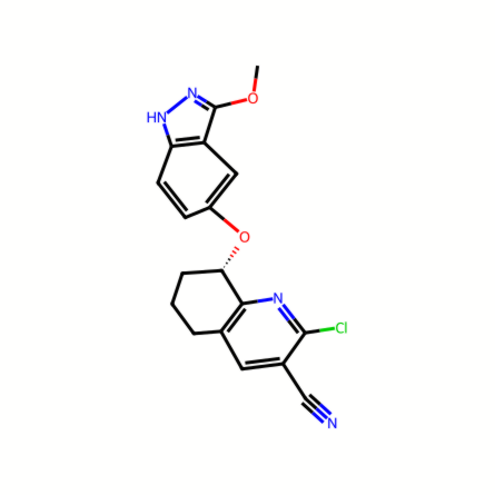 COc1n[nH]c2ccc(O[C@H]3CCCc4cc(C#N)c(Cl)nc43)cc12